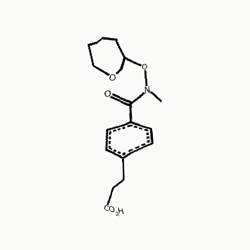 CN(OC1CCCCO1)C(=O)c1ccc(CCC(=O)O)cc1